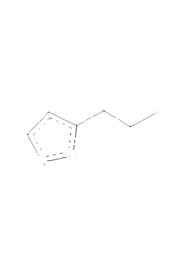 ICCc1ccno1